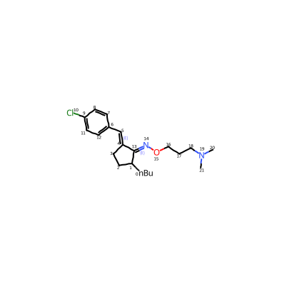 CCCCC1CCC(=C\c2ccc(Cl)cc2)/C1=N/OCCCN(C)C